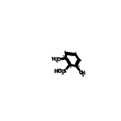 Cc1cccc(O)c1S(=O)(=O)O